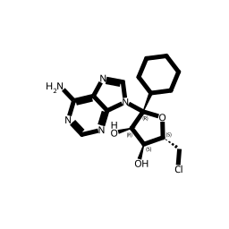 Nc1ncnc2c1ncn2[C@]1(C2CCCCC2)O[C@H](CCl)[C@@H](O)[C@H]1O